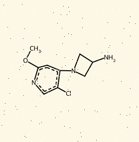 COc1cc(N2CC(N)C2)c(Cl)cn1